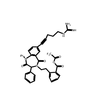 CC(C)N1C(=O)C(c2ccccc2)N(CCc2ccccc2C(=O)OC(=O)C(F)(F)F)C(=O)c2cc(C#CCCCNC(=N)N)ccc21